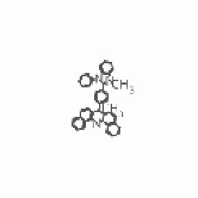 CN1c2ccccc2N(c2ccccc2)C1c1ccc(C2c3ccc4ccccc4c3N=C3C4=C(C=CC32C)CCC=C4)cc1